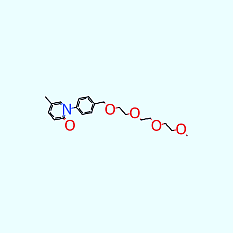 COCCOCCOCCOCc1ccc(-n2cc(C)ccc2=O)cc1